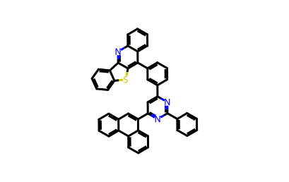 c1ccc(-c2nc(-c3cccc(-c4c5ccccc5nc5c4sc4ccccc45)c3)cc(-c3cc4ccccc4c4ccccc34)n2)cc1